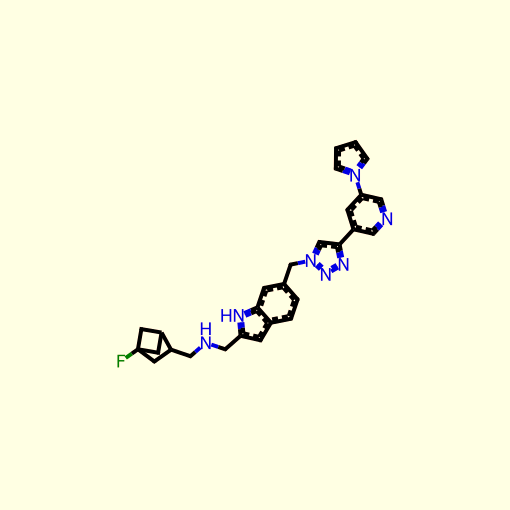 FC12CC(CNCc3cc4ccc(Cn5cc(-c6cncc(-n7cccc7)c6)nn5)cc4[nH]3)C(C1)C2